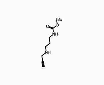 C#CCNCCCNC(=O)OC(C)(C)C